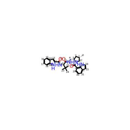 C[C@H]1C[C@@H](CNC(=O)[C@@H](NC(=O)c2cc3ccccc3[nH]2)C(C)(C)C)N(C(=O)c2cccc3cc[nH]c23)C1